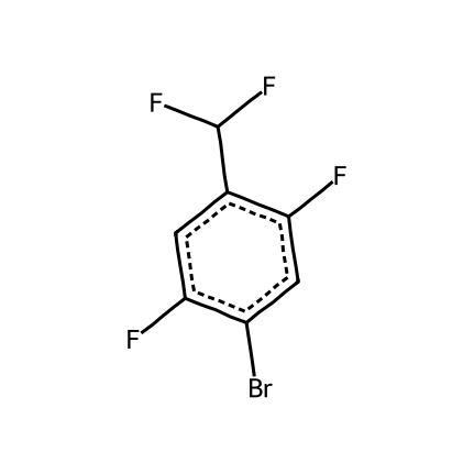 Fc1cc(C(F)F)c(F)cc1Br